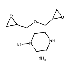 C(OCC1CO1)C1CO1.CCN1CCNCC1.N